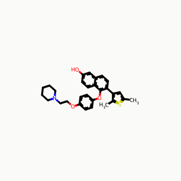 Cc1cc(-c2ccc3cc(O)ccc3c2Oc2ccc(OCCN3CCCCC3)cc2)c(C)s1